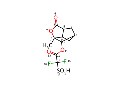 CC12OC(=O)C3CC(CC31)C2OC(=O)C(F)(F)S(=O)(=O)O